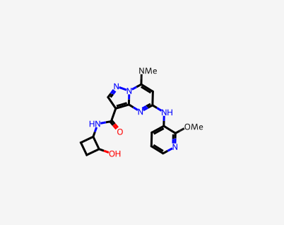 CNc1cc(Nc2cccnc2OC)nc2c(C(=O)NC3CCC3O)cnn12